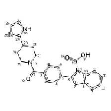 O=C(c1ccc(-c2cc3ccccc3n2C(=O)O)cc1)N1CCC(c2ncc[nH]2)CC1